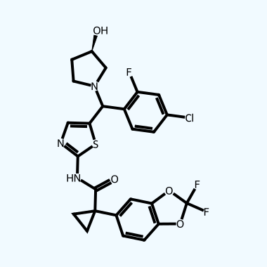 O=C(Nc1ncc(C(c2ccc(Cl)cc2F)N2CC[C@@H](O)C2)s1)C1(c2ccc3c(c2)OC(F)(F)O3)CC1